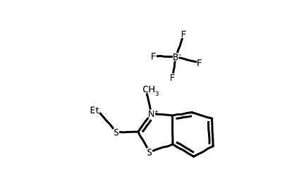 CCSc1sc2ccccc2[n+]1C.F[B-](F)(F)F